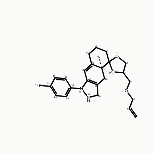 C=CCOCC1COC2(CCCC3=CC4=C(CNN4c4ccc(F)cc4)C[C@@]32C)O1